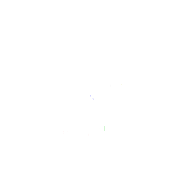 COC(=O)C(C)c1c(Cl)cc(C(=S)c2ccc(C)cc2)n1C